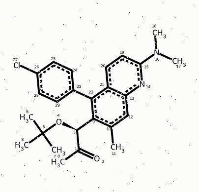 CC(=O)[C@@H](OC(C)(C)C)c1c(C)cc2nc(N(C)C)ccc2c1-c1ccc(Cl)cc1